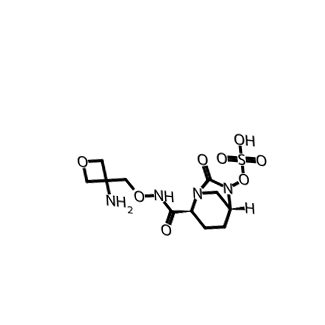 NC1(CONC(=O)[C@@H]2CC[C@@H]3CN2C(=O)N3OS(=O)(=O)O)COC1